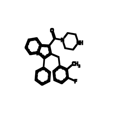 Cc1c(F)cccc1Cc1c(C(=O)N2CCNCC2)c2ccccn2c1-c1ccccc1